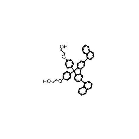 OCCOc1ccc(C2(c3ccc(OCCO)cc3)c3ccc(-c4cccc5ccccc45)cc3-c3cc(-c4cccc5ccccc45)ccc32)cc1